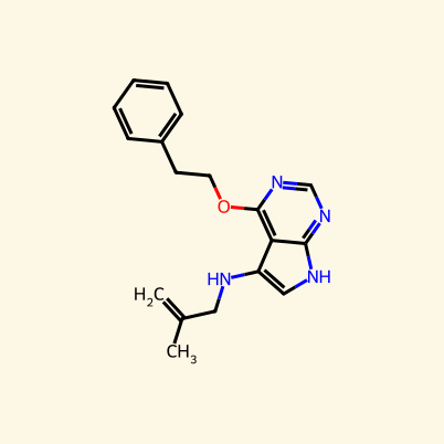 C=C(C)CNc1c[nH]c2ncnc(OCCc3ccccc3)c12